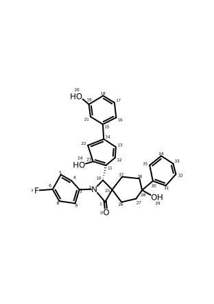 O=C1N(c2ccc(F)cc2)[C@H](c2ccc(-c3cccc(O)c3)cc2O)C12CCC(O)(c1ccccc1)CC2